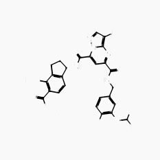 CC(=O)c1ccc2c(c1C)CC[C@@H]2NC(=O)c1cc(C(=O)NCc2ccc(F)c(OC(F)F)c2)nc2c(F)cnn12